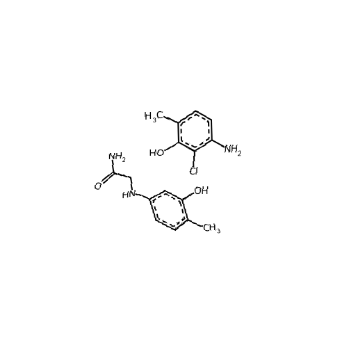 Cc1ccc(N)c(Cl)c1O.Cc1ccc(NCC(N)=O)cc1O